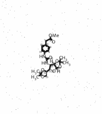 COC(=O)Cc1ccc(NC(=O)N[C@@H]2[C@H]3OC(C)(C)O[C@H]3O[C@@H]2[C@H]2COC(C)(C)O2)cc1